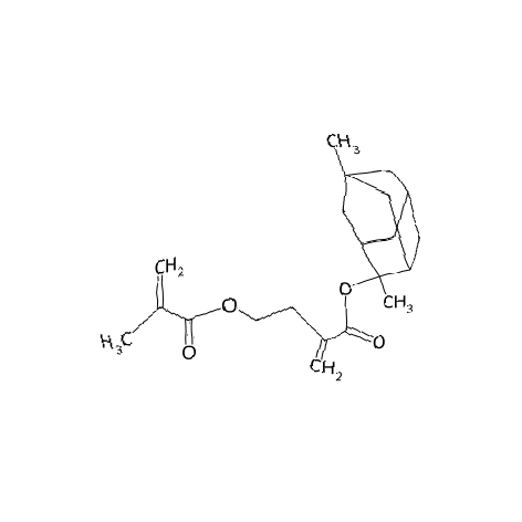 C=C(C)C(=O)OCCC(=C)C(=O)OC1(C)C2CC3CC1CC(C)(C3)C2